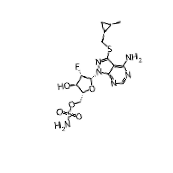 C[C@@H]1C[C@@H]1CSc1nn([C@@H]2O[C@H](COS(N)(=O)=O)[C@@H](O)[C@@H]2F)c2ncnc(N)c12